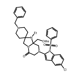 CCN1C2(CCN(Cc3ccccc3)CC2)CN2C(=O)CN(c3cc4cc(Cl)ccc4n3S(=O)(=O)c3ccccc3)CC21COC